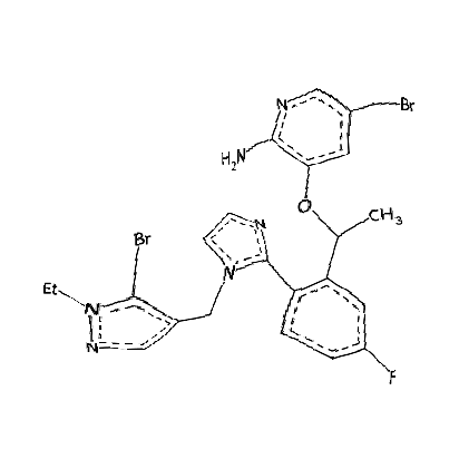 CCn1ncc(Cn2ccnc2-c2ccc(F)cc2C(C)Oc2cc(Br)cnc2N)c1Br